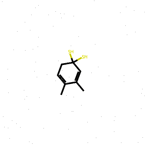 CC1=CCC(S)(S)C=C1C